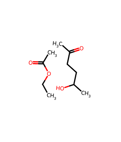 CC(=O)CCC(C)O.CCOC(C)=O